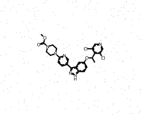 COC(=O)N1CCN(c2ccc(-c3n[nH]c4ccc(OC(C)c5c(Cl)cncc5Cl)cc34)cn2)CC1